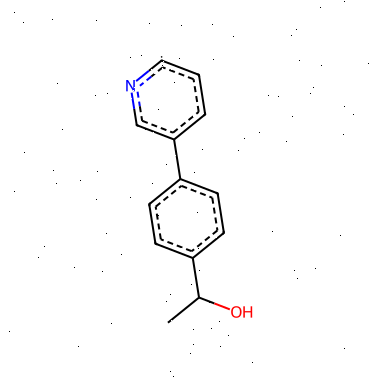 CC(O)c1ccc(-c2cc[c]nc2)cc1